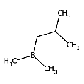 CB(C)CC(C)C